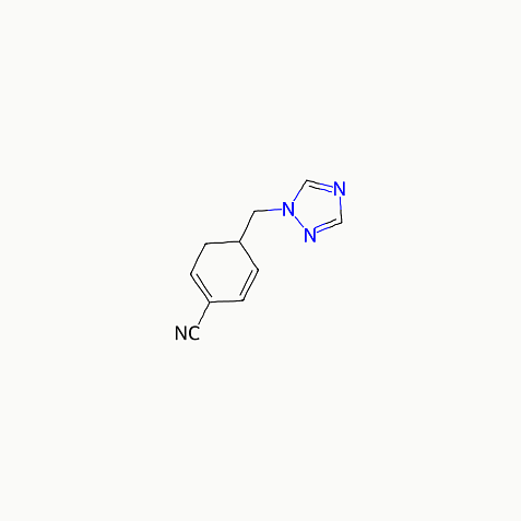 N#CC1=CCC(Cn2cncn2)C=C1